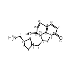 NC[C@@H]1CCN(C[C@@H]2Cn3c(=O)ccc4ccc(=O)n2c43)C1